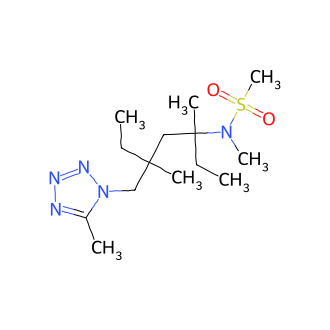 CCC(C)(Cn1nnnc1C)CC(C)(CC)N(C)S(C)(=O)=O